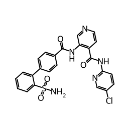 NS(=O)(=O)c1ccccc1-c1ccc(C(=O)Nc2cnccc2C(=O)Nc2ccc(Cl)cn2)cc1